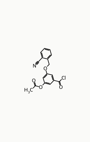 CC(=O)Oc1cc(OCc2ccccc2C#N)cc(C(=O)Cl)c1